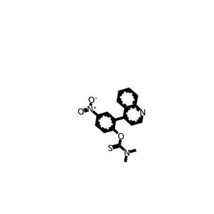 CN(C)C(=S)Oc1ccc([N+](=O)[O-])cc1-c1ccnc2ccccc12